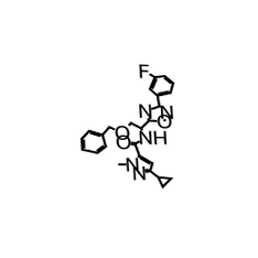 Cn1nc(C2CC2)cc1C(=O)NC(COCc1ccccc1)c1nc(-c2cccc(F)c2)no1